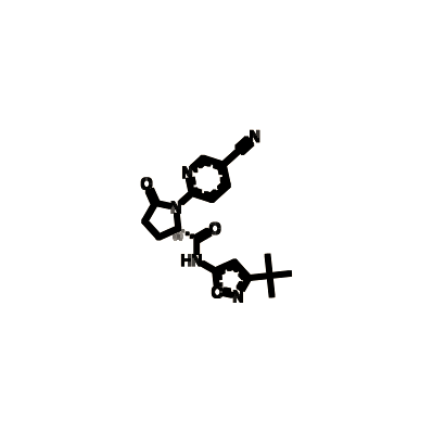 CC(C)(C)c1cc(NC(=O)[C@@H]2CCC(=O)N2c2ccc(C#N)cn2)on1